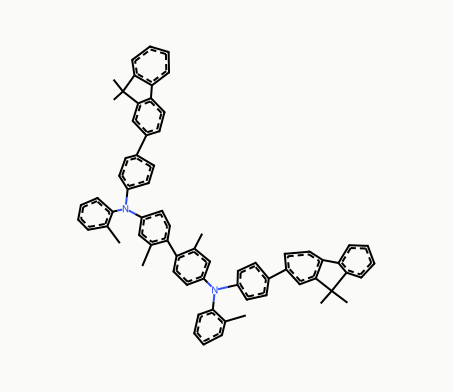 Cc1cc(N(c2ccc(-c3ccc4c(c3)C(C)(C)c3ccccc3-4)cc2)c2ccccc2C)ccc1-c1ccc(N(c2ccc(-c3ccc4c(c3)C(C)(C)c3ccccc3-4)cc2)c2ccccc2C)cc1C